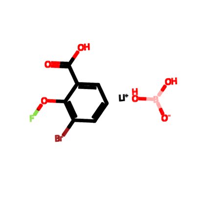 O=C(O)c1cccc(Br)c1OF.[Li+].[O-]B(O)O